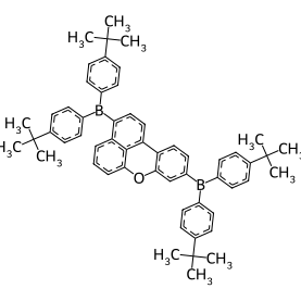 CC(C)(C)c1ccc(B(c2ccc(C(C)(C)C)cc2)c2ccc3c(c2)Oc2cccc4c(B(c5ccc(C(C)(C)C)cc5)c5ccc(C(C)(C)C)cc5)ccc-3c24)cc1